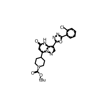 CC(C)(C)OC(=O)N1CCC(c2cc(=O)[nH]c3c(-c4nnc(-c5ccccc5Cl)o4)cnn23)CC1